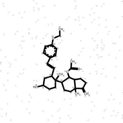 C=C1CCC2C(OC(C)=O)C(C3(C)CCC(O)CC3C=Cc3ccc(OCC)cc3)CCC12C